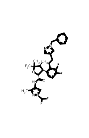 Cc1nn(C(F)F)cc1NC(=O)[C@@H]1O[C@@](C)(C(F)(F)F)[C@@H](C)[C@H]1c1ccc(F)c(F)c1CCc1cnn(Cc2ccccc2)c1